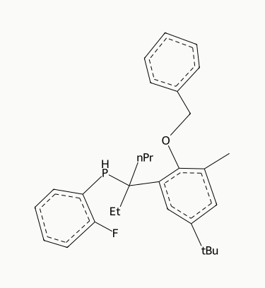 CCCC(CC)(Pc1ccccc1F)c1cc(C(C)(C)C)cc(C)c1OCc1ccccc1